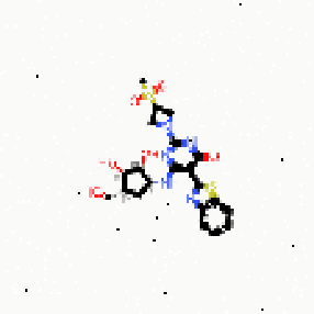 CS(=O)(=O)C1CN(c2nc(N[C@@H]3C[C@H](CO)[C@@H](O)[C@H]3O)c(-c3nc4ccccc4s3)c(=O)[nH]2)C1